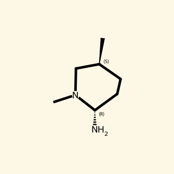 C[C@H]1CC[C@H](N)N(C)C1